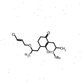 CCCCSC(C)CC1=C(O)C(CC(C)OC/C=C/Cl)CCC1=O